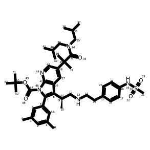 Cc1cc(C)cc(-c2c([C@H](C)CNCCc3ccc(NS(C)(=O)=O)cc3)c3cc(C(C)(C)C(=O)N(CC(C)C)CC(C)C)cnc3n2C(=O)OC(C)(C)C)c1